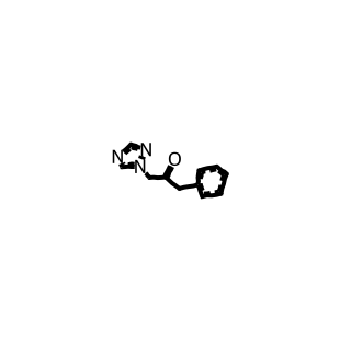 O=C(Cc1ccccc1)Cn1cncn1